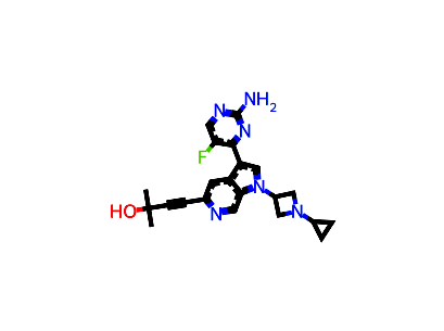 CC(C)(O)C#Cc1cc2c(-c3nc(N)ncc3F)cn(C3CN(C4CC4)C3)c2cn1